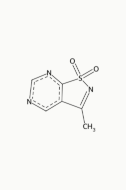 CC1=NS(=O)(=O)c2ncncc21